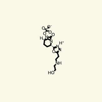 O=C1N2C[C@@H](CC[C@H]2c2nnc(CCNCCO)o2)N1OS(=O)(=O)[O-].[H+]